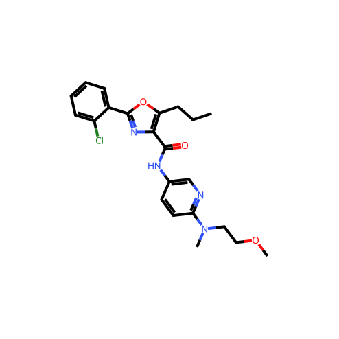 CCCc1oc(-c2ccccc2Cl)nc1C(=O)Nc1ccc(N(C)CCOC)nc1